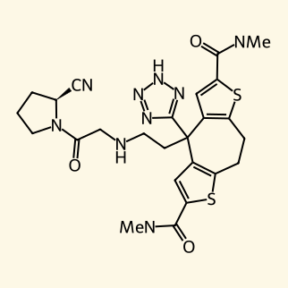 CNC(=O)c1cc2c(s1)CCc1sc(C(=O)NC)cc1C2(CCNCC(=O)N1CCC[C@H]1C#N)c1nn[nH]n1